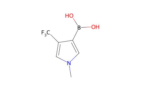 Cn1cc(B(O)O)c(C(F)(F)F)c1